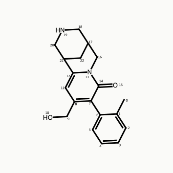 Cc1ccccc1-c1c(CO)cc2n(c1=O)CC1CNCC2C1